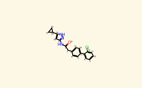 O=C(Cc1ccc(-c2ccccc2Cl)cc1)Nc1cc(C2CC2)[nH]n1